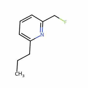 CCCc1cccc(CF)n1